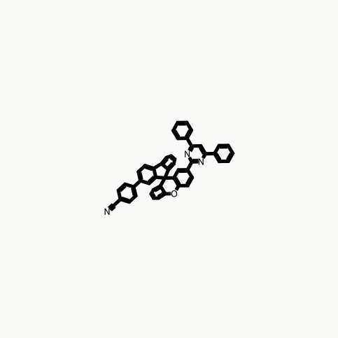 N#Cc1ccc(-c2ccc3c(c2)C2(c4ccccc4Oc4ccc(-c5nc(-c6ccccc6)cc(-c6ccccc6)n5)cc42)c2ccccc2-3)cc1